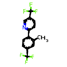 Cc1cc(C(F)(F)F)ccc1-c1ccc(C(F)(F)F)cn1